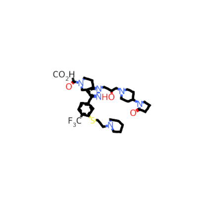 O=C(O)C(=O)N1CCc2c(c(-c3ccc(C(F)(F)F)c(SCCN4CCCCC4)c3)nn2CC(O)CN2CCC(N3CCCC3=O)CC2)C1